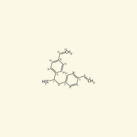 C=Cc1ccc(CC(C)c2ccc(C=C)cc2)cc1